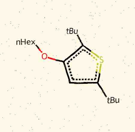 CCCCCCOc1cc(C(C)(C)C)sc1C(C)(C)C